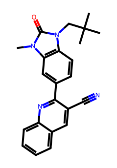 Cn1c(=O)n(CC(C)(C)C)c2ccc(-c3nc4ccccc4cc3C#N)cc21